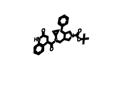 CC(C)(C)OC(=O)N1CC(Cc2ccccc2)C(CN(C(=O)C2CC(=O)Nc3ccccc32)C2CC2)C1